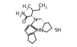 CC[C@H](C)[C@@H](C(N)=O)N(C[C@@H]1C[C@H](S)CN1)c1ccc2c(c1)CCC2